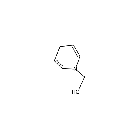 OCN1C=CCC=C1